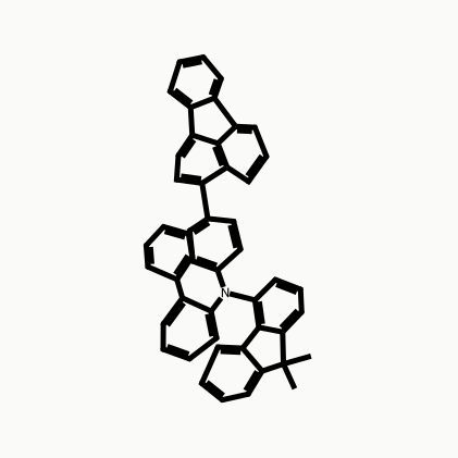 CC1(C)c2ccccc2-c2c(N(c3ccc(-c4ccc5c6c(cccc46)-c4ccccc4-5)cc3)c3ccccc3-c3ccccc3)cccc21